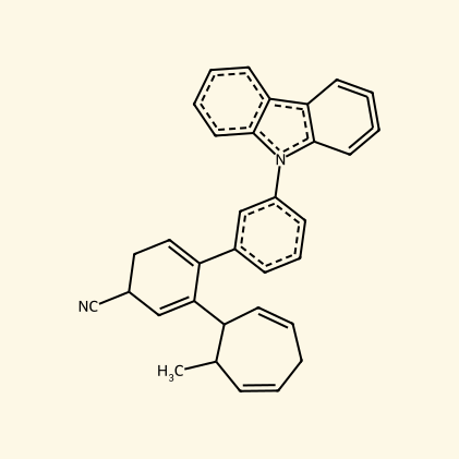 CC1C=CCC=CC1C1=CC(C#N)CC=C1c1cccc(-n2c3c(c4ccccc42)C=C=C=C3)c1